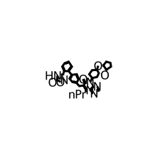 CCCc1c(Cc2ccc(-c3ccccc3-c3noc(=O)[nH]3)cc2)c(=O)n(C2CCC(OC3CCCC3=O)CC2)c2ncnn12